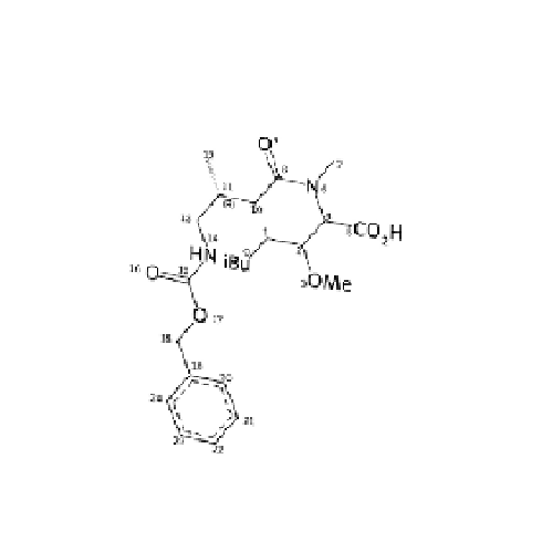 CCC(C)CC(OC)C(C(=O)O)N(C)C(=O)C[C@@H](C)CNC(=O)OCc1ccccc1